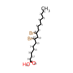 CCCCCCCCC(Br)CC(Br)CCCCCCC(=O)O